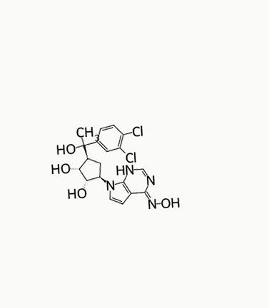 CC(O)(c1ccc(Cl)c(Cl)c1)[C@H]1C[C@@H](n2ccc3c(=NO)nc[nH]c32)[C@H](O)[C@@H]1O